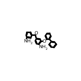 Nc1cccc(C(=O)c2ccc(N)c(Oc3ccccc3-c3ccccc3)c2)c1